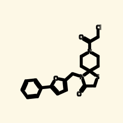 O=C(CCl)N1CCC2(CC1)SCC(=O)N2Cc1ccc(-c2ccccc2)o1